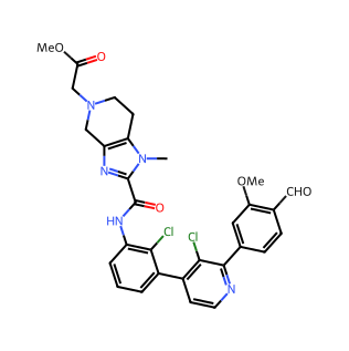 COC(=O)CN1CCc2c(nc(C(=O)Nc3cccc(-c4ccnc(-c5ccc(C=O)c(OC)c5)c4Cl)c3Cl)n2C)C1